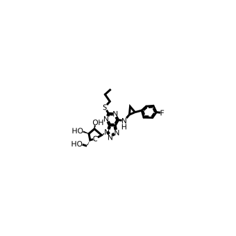 CCCSc1nc(NC2CC2c2ccc(F)cc2)c2nnn([C@@H]3C[C@H](CO)[C@@H](O)[C@H]3O)c2n1